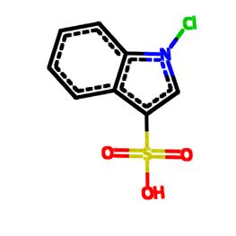 O=S(=O)(O)c1cn(Cl)c2ccccc12